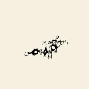 CCN1C(=O)CN(C)c2nc(N[C@H]3C[C@@H](COc4ccc(Cl)cc4)C3)ncc21